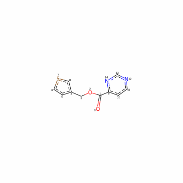 O=C(OCc1ccsc1)c1ccncn1